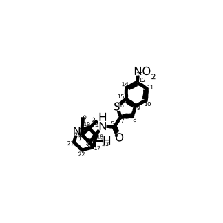 CC1(C)[C@H](NC(=O)c2cc3ccc([N+](=O)[O-])cc3s2)C2CCN1CC2